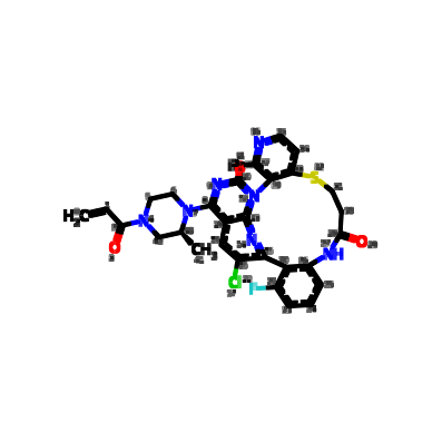 C=CC(=O)N1CCN(c2nc(=O)n3c4nc(c(Cl)cc24)-c2c(F)cccc2NC(=O)CCSc2ccnc(C(C)C)c2-3)[C@@H](C)C1